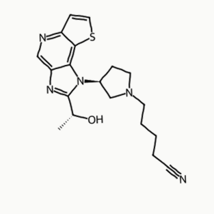 C[C@@H](O)c1nc2cnc3ccsc3c2n1[C@H]1CCN(CCCCC#N)C1